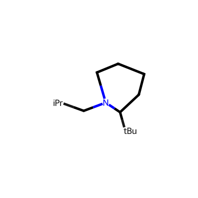 CC(C)CN1CCCCC1C(C)(C)C